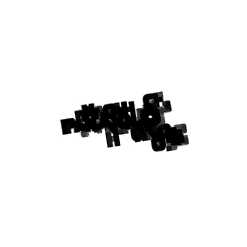 CCC[C@H](O)[C@H](CNCC(C)C)NC(=O)CNC(=O)c1cc(C(F)(F)F)ccc1NC(=O)ON1CCC1